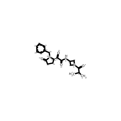 CC(C)C(=O)N1CC(NC(=O)C(=O)[C@H]2CCC(=O)N2Cc2ccccc2)C1